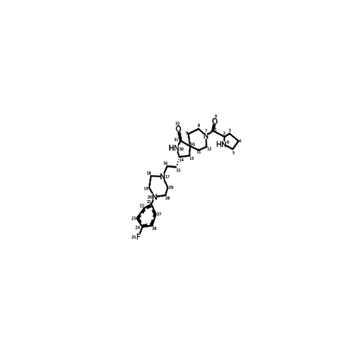 O=C(C1CCCN1)N1CCC2(CC1)C[C@H](CCN1CCN(c3ccc(F)cc3)CC1)NC2=O